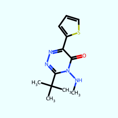 CNn1c(C(C)(C)C)nnc(-c2cccs2)c1=O